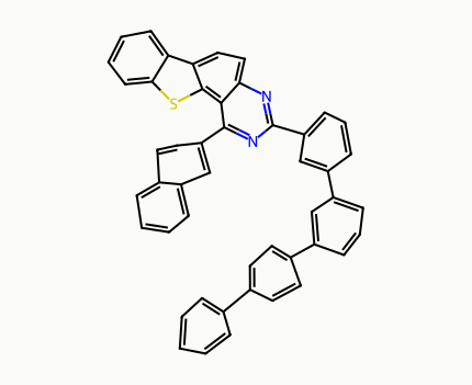 c1ccc(-c2ccc(-c3cccc(-c4cccc(-c5nc(-c6ccc7ccccc7c6)c6c(ccc7c8ccccc8sc76)n5)c4)c3)cc2)cc1